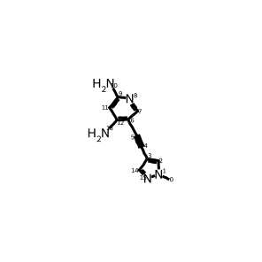 Cn1cc(C#Cc2cnc(N)cc2N)cn1